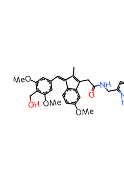 COc1ccc2c(c1)C(CC(=O)NCc1ccc[nH]1)=C(C)/C2=C/c1cc(OC)c(CO)c(OC)c1